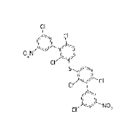 O=[N+]([O-])c1cc(Cl)cc(-c2c(Cl)ccc(Sc3ccc(Cl)c(-c4cc(Cl)cc([N+](=O)[O-])c4)c3Cl)c2Cl)c1